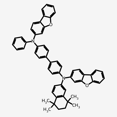 CC1(C)CCC(C)(C)c2cc(N(c3ccc(-c4ccc(N(c5ccccc5)c5ccc6c(c5)oc5ccccc56)cc4)cc3)c3ccc4c(c3)oc3ccccc34)ccc21